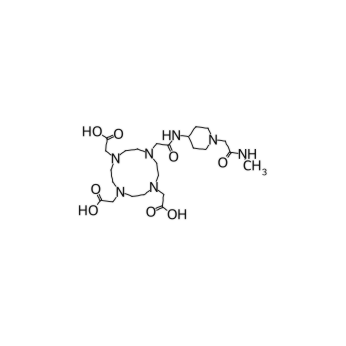 CNC(=O)CN1CCC(NC(=O)CN2CCN(CC(=O)O)CCN(CC(=O)O)CCN(CC(=O)O)CC2)CC1